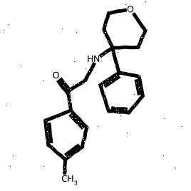 Cc1ccc(C(=O)CNC2(c3ccccc3)CCOCC2)cc1